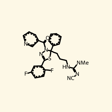 CN/C(=N/C#N)NCCCC1(c2ccccc2)SC(c2cc(F)ccc2F)=NN1C(=O)c1cccnc1